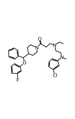 CCN(CCC(=O)N1CCC(C(Oc2cccc(F)c2)c2ccccc2)CC1)CCN(C)c1cccc(Cl)c1